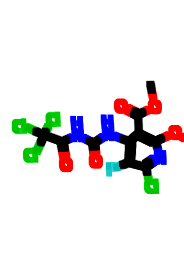 COC(=O)c1c(OC)nc(Cl)c(F)c1NC(=O)NC(=O)C(Cl)(Cl)Cl